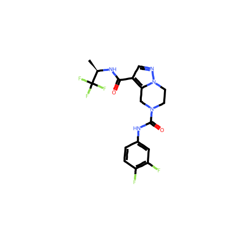 C[C@@H](NC(=O)c1cnn2c1CN(C(=O)Nc1ccc(F)c(F)c1)CC2)C(F)(F)F